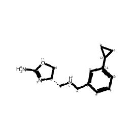 NC1=N[C@@H](CNCc2cccc(C3CC3)c2)CO1